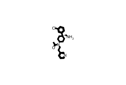 CC(=O)N(CCc1cccnc1)[C@H]1CC[C@](CN)(c2cccc(Cl)c2)CC1